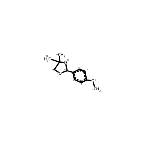 COc1ccc(B2OCC(C)(C)O2)cc1